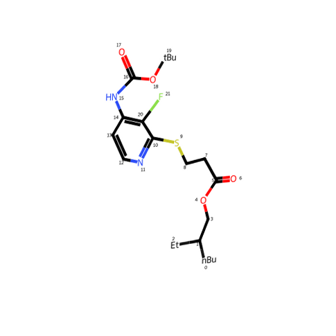 CCCCC(CC)COC(=O)CCSc1nccc(NC(=O)OC(C)(C)C)c1F